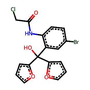 O=C(CCl)Nc1ccc(Br)cc1C(O)(c1ccco1)c1ccco1